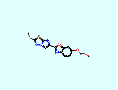 COCOc1ccc2nc(-c3cn4nc(SC)sc4n3)oc2c1